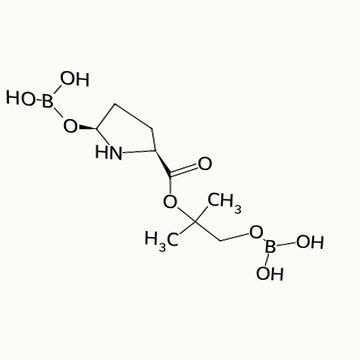 CC(C)(COB(O)O)OC(=O)[C@@H]1CC[C@H](OB(O)O)N1